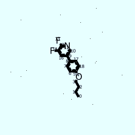 CCCCOc1ccc(-c2cnc(F)c(F)c2)cc1